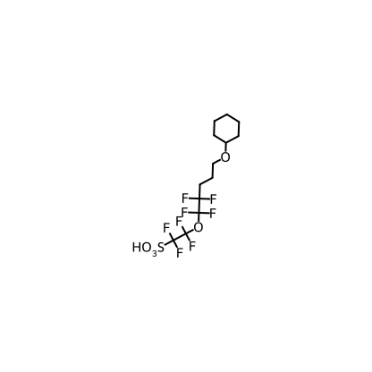 O=S(=O)(O)C(F)(F)C(F)(F)OC(F)(F)C(F)(F)CCCOC1CCCCC1